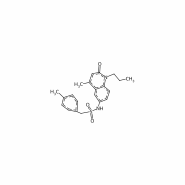 CCCn1c(=O)cc(C)c2cc(NS(=O)(=O)Cc3ccc(C)cc3)ccc21